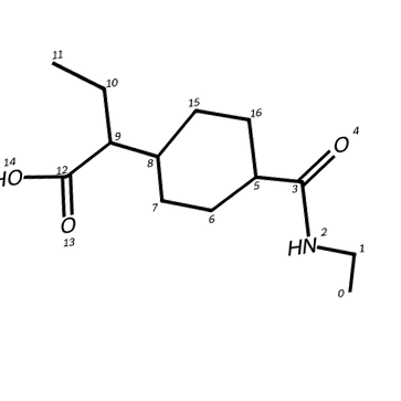 CCNC(=O)C1CCC(C(CC)C(=O)O)CC1